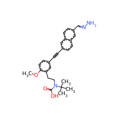 COc1ccc(C#Cc2ccc3cc(C=NN)ccc3c2)cc1CCN(C(=O)O)C(C)(C)C